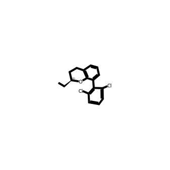 CC[C@H]1CCc2cccc(-c3c(Cl)cccc3Cl)c2O1